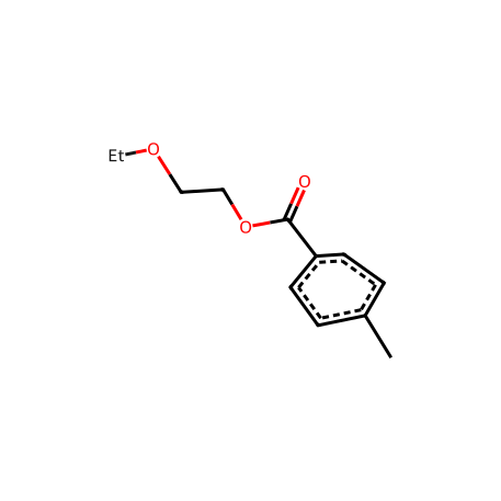 CCOCCOC(=O)c1ccc(C)cc1